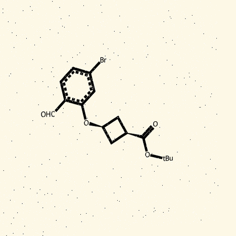 CC(C)(C)OC(=O)[C@H]1C[C@@H](Oc2cc(Br)ccc2C=O)C1